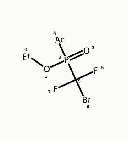 CCOP(=O)(C(C)=O)C(F)(F)Br